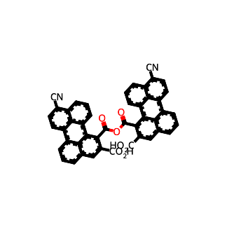 N#Cc1ccc2c3cccc4cc(C(=O)O)c(C(=O)OC(=O)c5c(C(=O)O)cc6cccc7c8ccc(C#N)c9cccc(c5c67)c98)c(c5cccc1c25)c43